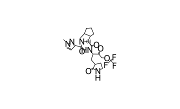 Cn1ccc(C(=O)N2CC3CCCC3[C@H]2C(=O)NC(CC2CCNC2=O)C(=O)COC(F)(F)F)n1